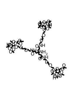 CC(=O)NC(C(OC(C)=O)OC(C)=O)C(OCCOCCOCCNC(=O)CCC(N)(CCC(=O)NCCOCCOCCOC(OC(C)COC(C)=O)C(NC(C)=O)C(OC(C)=O)OC(C)=O)CCC(=O)NCCOCCOCCOC1OC(COC(C)=O)C(OC(C)=O)C(OC(C)=O)C1NC(C)=O)OC(C)COC(C)=O